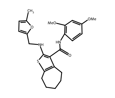 COc1ccc(NC(=O)c2c(NCc3ccc(C)o3)sc3c2CCCCC3)c(OC)c1